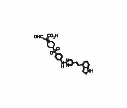 O=CCN(C(=O)O)N1CCC(S(=O)(=O)c2ccc(Nc3ncc(C=Cc4cccc5[nH]ccc45)cn3)cc2)CC1